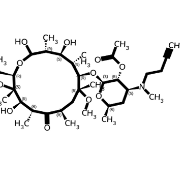 C#CCCN(C)[C@H]1C[C@@H](C)O[C@@H](O[C@@H]2[C@@H](C)[C@H](O)[C@@H](C)C(O)O[C@H](CC)[C@@](C)(O)[C@H](O)[C@@H](C)C(=O)[C@H](C)C[C@@]2(C)OC)[C@@H]1OC(C)=O